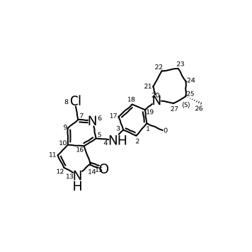 Cc1cc(Nc2nc(Cl)cc3cc[nH]c(=O)c23)ccc1N1CCCC[C@H](C)C1